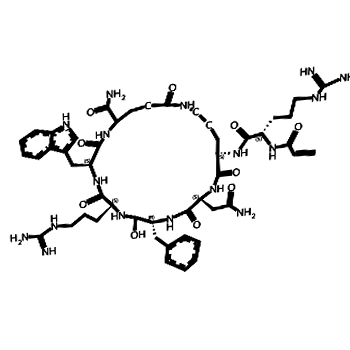 C=CC(=O)N[C@@H](CCCNC(=N)N)C(=O)N[C@H]1CCCNC(=O)CCC(C(N)=O)NC(=O)[C@H](Cc2c[nH]c3ccccc23)NC(=O)[C@H](CCCNC(=N)N)NC(O)[C@@H](Cc2ccccc2)NC(=O)[C@H](CC(N)=O)NC1=O